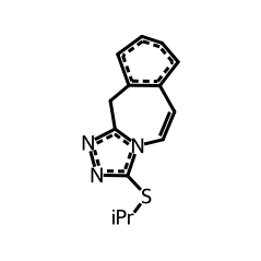 CC(C)Sc1nnc2n1C=Cc1ccccc1C2